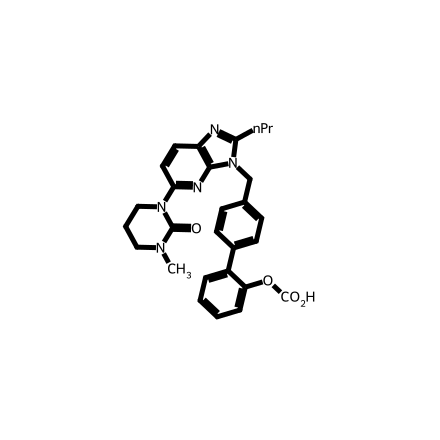 CCCc1nc2ccc(N3CCCN(C)C3=O)nc2n1Cc1ccc(-c2ccccc2OC(=O)O)cc1